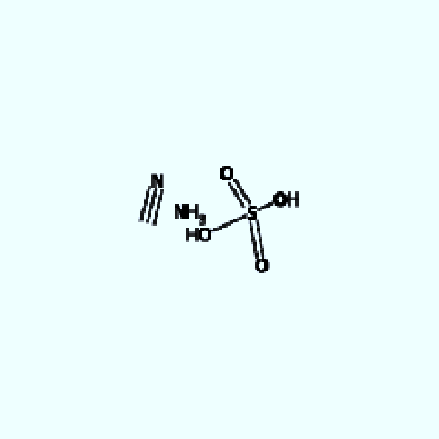 C#N.N.O=S(=O)(O)O